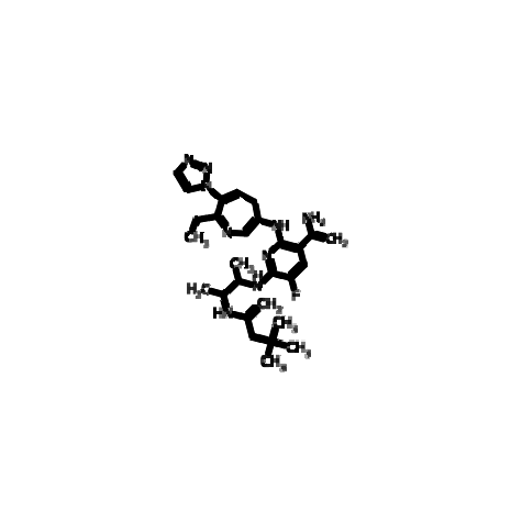 C=C(CC(C)(C)C)NC(C)C(C)Nc1nc(NC2=CN=C(CC)C(n3ccnn3)=CC2)c(C(=C)N)cc1F